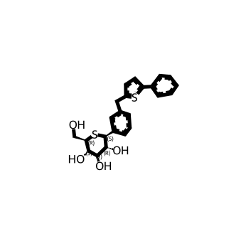 OC[C@H]1S[C@@H](c2cccc(Cc3ccc(-c4ccccc4)s3)c2)[C@H](O)[C@@H](O)[C@@H]1O